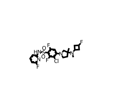 CN(C1CC(F)C1)C1(C)CCN(c2cc(F)c(S(=O)(=O)Nc3cccc(F)n3)c(F)c2Cl)C1